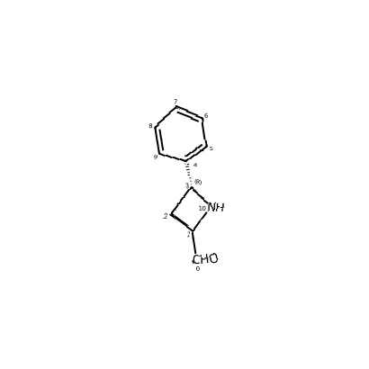 O=CC1C[C@H](c2ccccc2)N1